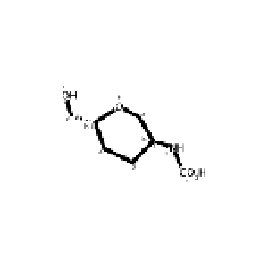 O=C(O)N[C@H]1CC[C@H](CO)OC1